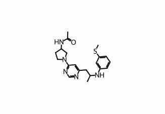 CSc1cccc(NC(C)Cc2cc(N3CCC(NC(C)=O)C3)ncn2)c1